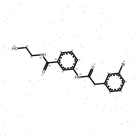 O=C(Cc1cccc(Br)c1)Nc1cccc(C(=O)NCCO)c1